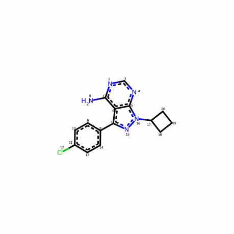 Nc1ncnc2c1c(-c1ccc(Cl)cc1)nn2C1CCC1